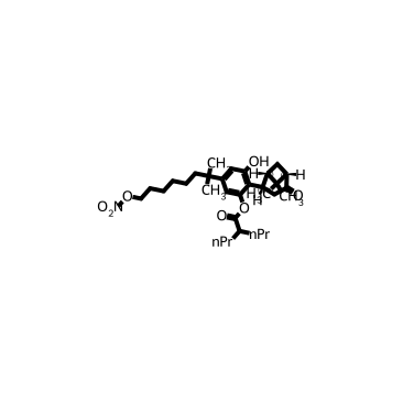 CCCC(CCC)C(=O)Oc1cc(C(C)(C)CCCCCCO[N+](=O)[O-])cc(O)c1[C@H]1CC(=O)[C@H]2C[C@@H]1C2(C)C